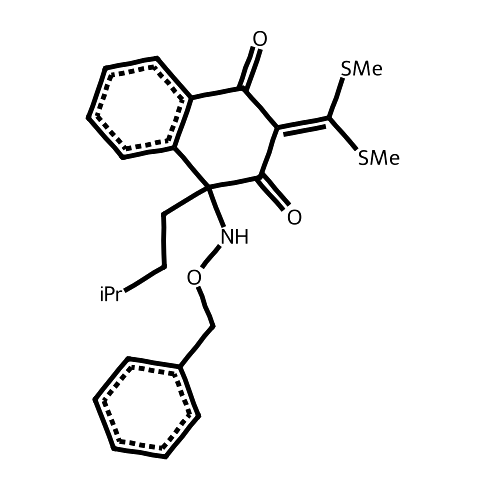 CSC(SC)=C1C(=O)c2ccccc2C(CCC(C)C)(NOCc2ccccc2)C1=O